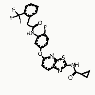 O=C(Cc1ccccc1C(F)(F)I)Nc1cc(Oc2ccc3nc(NC(=O)C4CC4)sc3n2)ccc1F